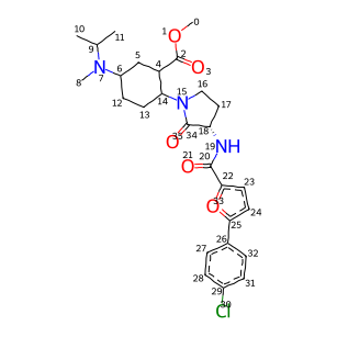 COC(=O)C1CC(N(C)C(C)C)CCC1N1CC[C@H](NC(=O)c2ccc(-c3ccc(Cl)cc3)o2)C1=O